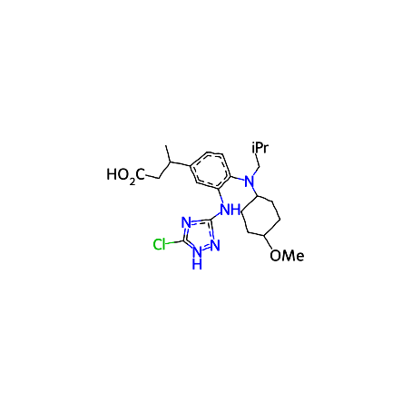 COC1CCC(N(CC(C)C)c2ccc(C(C)CC(=O)O)cc2Nc2n[nH]c(Cl)n2)CC1